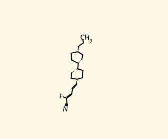 CCC[C@H]1CC[C@H]([C@H]2CC[C@H](C=CC=C(F)C#N)CC2)CC1